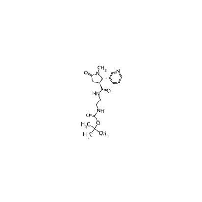 CN1C(=O)C[C@H](C(=O)NCCNC(=O)OC(C)(C)C)[C@H]1c1cccnc1